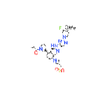 C=CC(=O)N1CCC[C@@H](c2ccc(N3CC(CS(C)(=O)=O)C3)c3cnc(Nc4ccnc(N5CC[C@@H](OC)[C@@H](F)C5)n4)cc23)C1